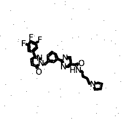 O=C(NCCCCN1CCCC1)c1cnc(-c2cccc(Cn3nc(-c4cc(F)c(F)c(F)c4)ccc3=O)c2)nc1